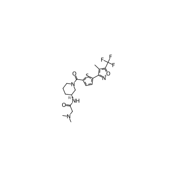 Cc1c(-c2ccc(C(=O)N3CCC[C@H](NC(=O)CN(C)C)C3)s2)noc1C(F)(F)F